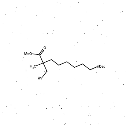 CCCCCCCCCCCCCCCCC(C)(CC(C)C)C(=O)OC